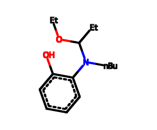 CCCCN(c1ccccc1O)C(CC)OCC